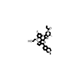 C=CC(=O)N1Cc2cc(-c3nc(-c4ccc5c(c4)CCN(C)C5)c4ccsc4c3-c3c(F)cc(F)cc3OCCO)nn2[C@@H](C)C1